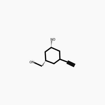 C#CC1C[C@H](CN=O)C[C@H](N=O)C1